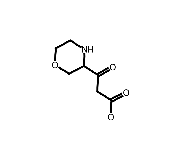 [O]C(=O)CC(=O)C1COCCN1